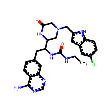 CCNC(=O)NC(Cc1ccc2c(N)ncnc2c1)C1CN(Cc2cc3cc(Cl)ccc3[nH]2)CC(=O)N1